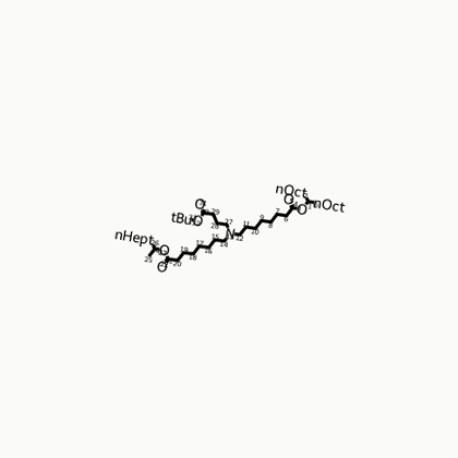 CCCCCCCCC(CCCCCCCC)OC(=O)CCCCCCCN(CCCCCCCC(=O)OC(C)CCCCCCC)CCCC(=O)OC(C)(C)C